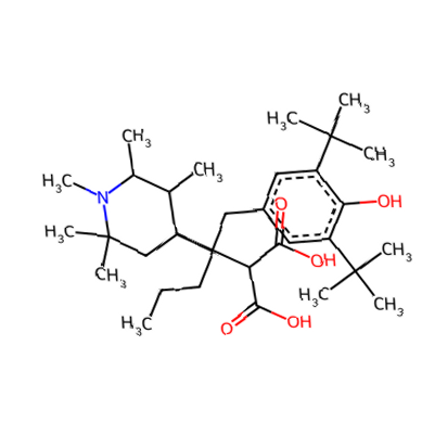 CCCC(Cc1cc(C(C)(C)C)c(O)c(C(C)(C)C)c1)(C(C(=O)O)C(=O)O)C1CC(C)(C)N(C)C(C)C1C